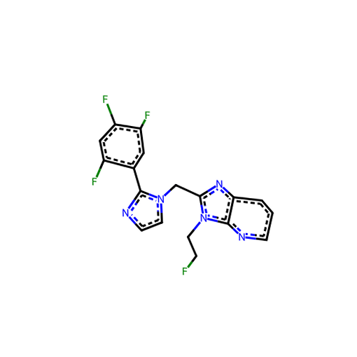 FCCn1c(Cn2ccnc2-c2cc(F)c(F)cc2F)nc2cccnc21